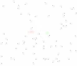 C=C=CC(O)C1(Cl)C=CC=CC1